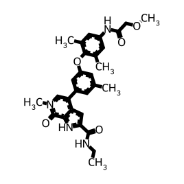 CCNC(=O)c1cc2c(-c3cc(C)cc(Oc4c(C)cc(NC(=O)COC)cc4C)c3)cn(C)c(=O)c2[nH]1